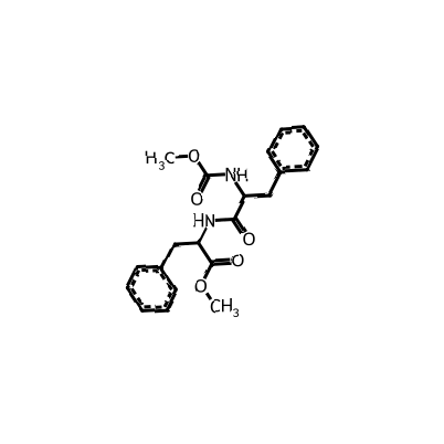 COC(=O)NC(Cc1ccccc1)C(=O)NC(Cc1ccccc1)C(=O)OC